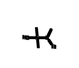 CCN(C)[Si](C)(C)O